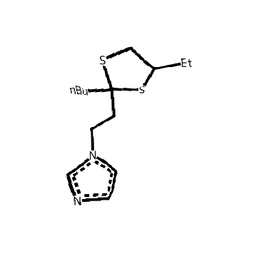 CCCCC1(CCn2ccnc2)SCC(CC)S1